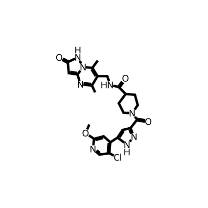 COc1cc(-c2cc(C(=O)N3CCC(C(=O)NCc4c(C)nc5cc(=O)[nH]n5c4C)CC3)n[nH]2)c(Cl)cn1